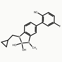 CN1c2cc(-c3cc(F)ccc3C#N)ccc2N(CC2CC2)S1(O)O